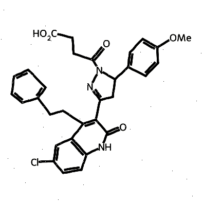 COc1ccc(C2CC(c3c(CCc4ccccc4)c4cc(Cl)ccc4[nH]c3=O)=NN2C(=O)CCC(=O)O)cc1